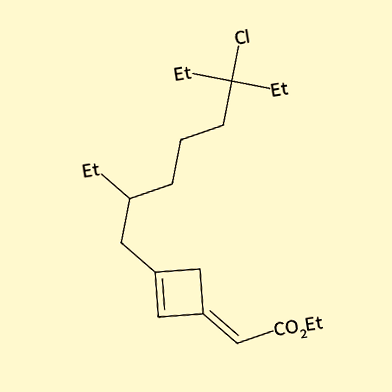 CCOC(=O)/C=C1/C=C(CC(CC)CCCC(Cl)(CC)CC)C1